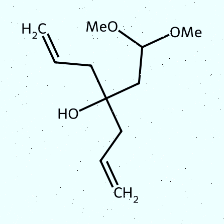 C=CCC(O)(CC=C)CC(OC)OC